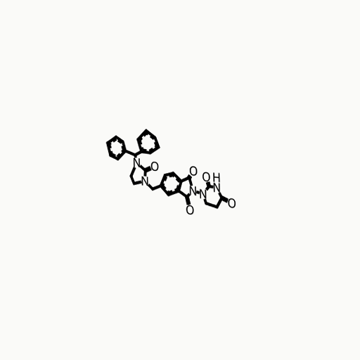 O=C1CCN(N2C(=O)c3ccc(CN4CCN(C(c5ccccc5)c5ccccc5)C4=O)cc3C2=O)C(=O)N1